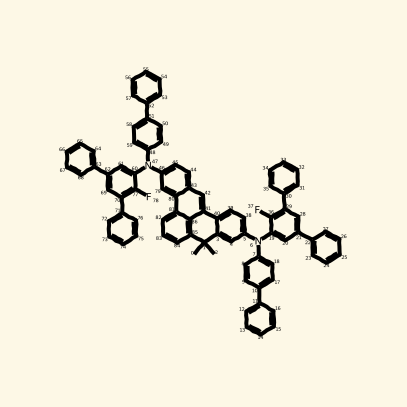 CC1(C)c2cc(N(c3ccc(-c4ccccc4)cc3)c3cc(-c4ccccc4)cc(-c4ccccc4)c3F)ccc2-c2cc3ccc(N(c4ccc(-c5ccccc5)cc4)c4cc(-c5ccccc5)cc(-c5ccccc5)c4F)cc3c3cccc1c23